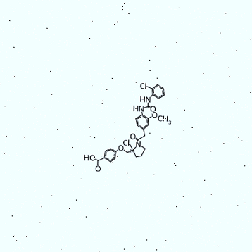 COc1cc(CC(=O)N2CCC[C@]2(Cl)COc2ccc(C(=O)O)cc2)ccc1NC(=O)Nc1ccccc1Cl